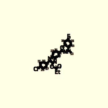 CCC(=O)Oc1nc2cc(C(=O)NC(C)c3ccc(F)cc3)ccc2nc1-c1ccc(Cl)cc1